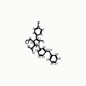 Cc1c(-c2ccc(F)cc2)c(C=O)c(C(C)C)n1-c1cccc(Cc2ccccc2)c1